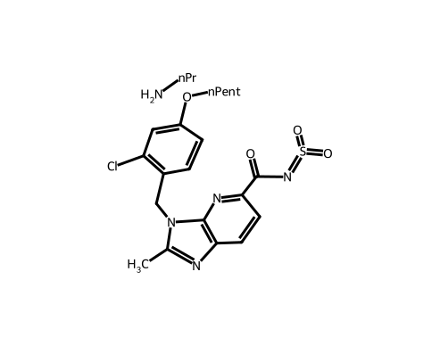 CCCCCOc1ccc(Cn2c(C)nc3ccc(C(=O)N=S(=O)=O)nc32)c(Cl)c1.CCCN